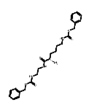 N[C@@H](CCCCNC(=O)OCc1ccccc1)C(=O)NCCNC(=O)OCc1ccccc1